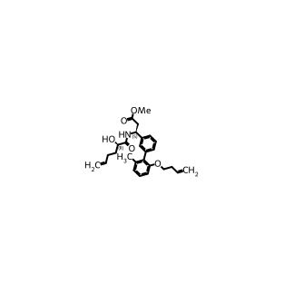 C=CCCOc1cccc(C)c1-c1cccc([C@H](CC(=O)OC)NC(=O)[C@H](O)CCC=C)c1